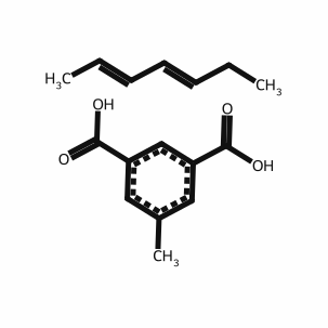 CC=CC=CCC.Cc1cc(C(=O)O)cc(C(=O)O)c1